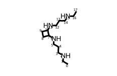 CCNCCCNC1CCC1NCCCNCC